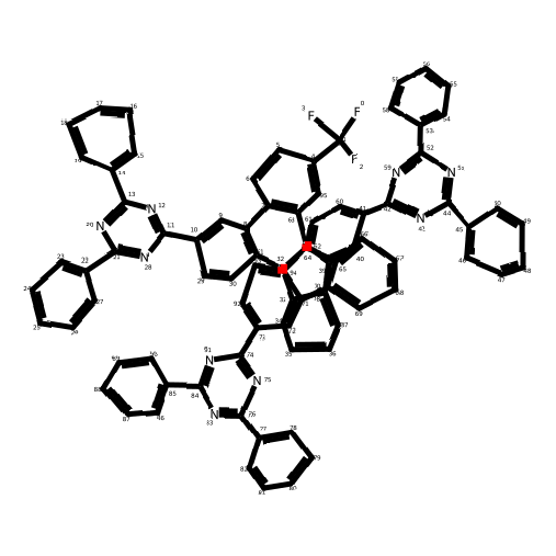 FC(F)(F)c1ccc(-c2cc(-c3nc(-c4ccccc4)nc(-c4ccccc4)n3)ccc2-n2c3ccccc3c3cc(-c4nc(-c5ccccc5)nc(-c5ccccc5)n4)ccc32)c(-n2c3ccccc3c3cc(-c4nc(-c5ccccc5)nc(-c5ccccc5)n4)ccc32)c1